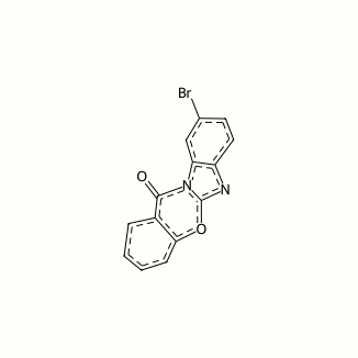 O=c1c2ccccc2oc2nc3ccc(Br)cc3n12